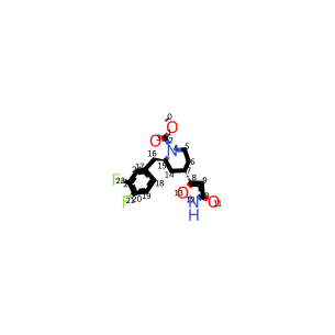 COC(=O)N1CC[C@H](c2cc(=O)[nH]o2)C[C@H]1Cc1ccc(F)c(F)c1